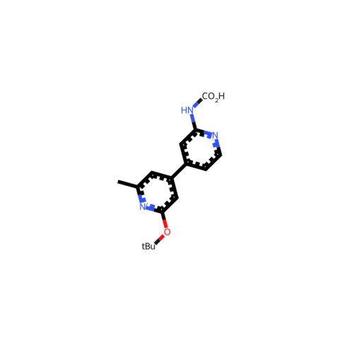 Cc1cc(-c2ccnc(NC(=O)O)c2)cc(OC(C)(C)C)n1